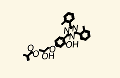 C=C(C)C(=O)OCC(O)COc1ccc(-c2nc(-c3ccccc3C)nc(-c3ccccc3C)n2)c(O)c1